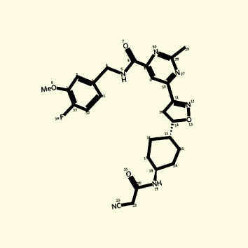 COc1cc(CNC(=O)c2cc(C3=NOC([C@H]4CC[C@H](NC(=O)CC#N)CC4)C3)nc(C)n2)ccc1F